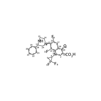 O=C(O)c1cn(C2CC2(F)F)c2c(F)c(N3CCNC(c4ccccc4)C3)c(F)cc2c1=O